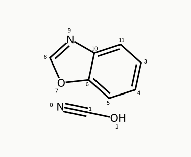 N#CO.c1ccc2ocnc2c1